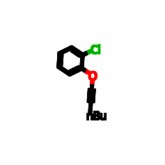 CCCCC#COc1ccccc1Cl